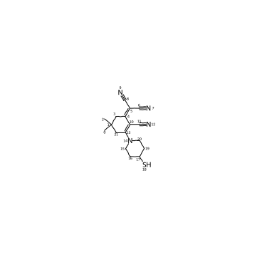 CC1(C)CC(=C(C#N)C#N)C(C#N)=C(N2CCC(S)CC2)C1